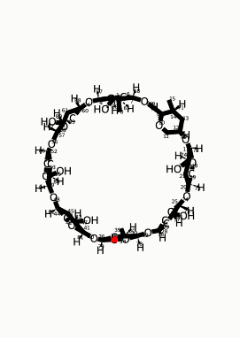 C[C@H]1[C@@H](O)[C@@H]2OC[C@H]1O[C@H]1OC[C@H](C[C@H]1C)O[C@H]1OC[C@H](C[C@H]1O)O[C@H]1OC[C@H](C[C@H]1O)O[C@H]1OC[C@H](C[C@H]1C)O[C@H]1OC[C@H](C[C@H]1O)O[C@H]1OC[C@H](C[C@H]1O)O[C@H]1OC[C@H](C[C@H]1O)O2